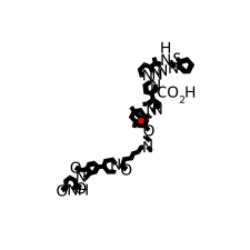 Cc1c(Nc2nc3ccccc3s2)nnc2c1CCCN2c1ccc(-c2cnn(CC34CC5(C)CC(C)(C3)CC(OCCN(C)CCCCCC(=O)N3CCC(c6ccc7c(c6)CN(C6CCC(=O)NC6=O)C7=O)CC3)(C5)C4)c2C)c(C(=O)O)n1